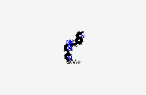 COc1ccc(-c2ccc3nnc(Cc4ccc5ncccc5c4)n3n2)cn1